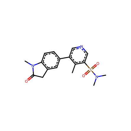 Cc1c(-c2ccc3c(c2)CC(=O)N3C)cncc1S(=O)(=O)N(C)C